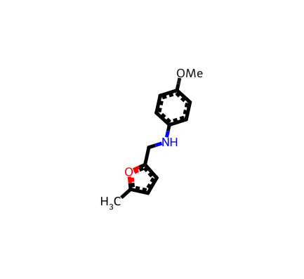 COc1ccc(NCc2ccc(C)o2)cc1